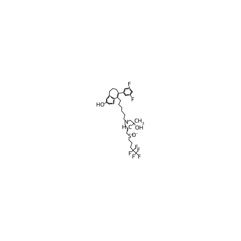 CC(C)(O)CN(CCCCCCC1=C(c2cc(F)cc(F)c2)CCCc2cc(O)ccc21)CCC[S+]([O-])CCCC(F)(F)C(F)(F)F